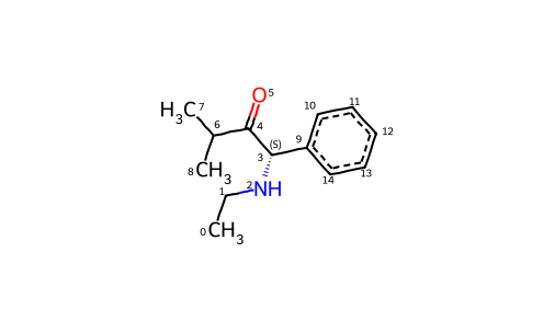 CCN[C@H](C(=O)C(C)C)c1ccccc1